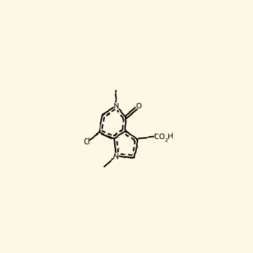 Cn1cc(Cl)c2c(c(C(=O)O)cn2C)c1=O